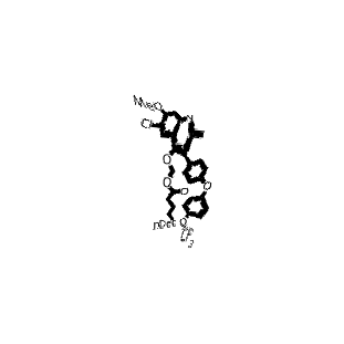 CCCCCCCCCCCCCC(=O)OCOc1c(-c2ccc(Oc3ccc(OC(F)(F)F)cc3)cc2)c(C)nc2cc(OC)c(Cl)cc12